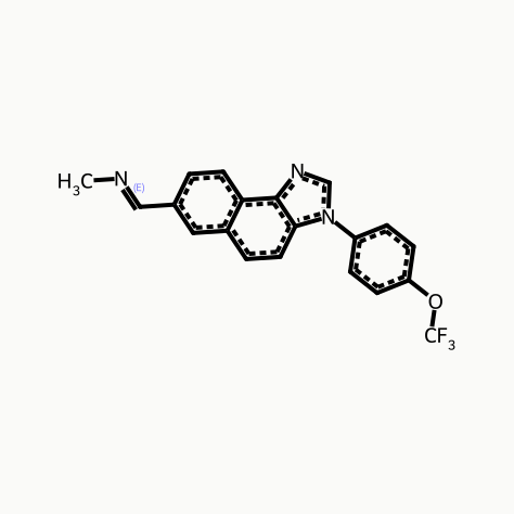 C/N=C/c1ccc2c(ccc3c2ncn3-c2ccc(OC(F)(F)F)cc2)c1